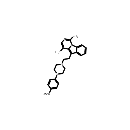 COc1ccc(N2CCN(CCc3c4ccccc4n4c(C)ncc(C)c34)CC2)cc1